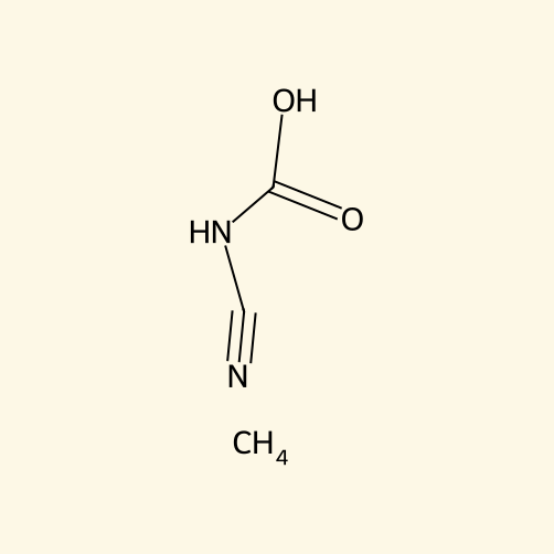 C.N#CNC(=O)O